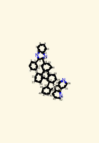 c1ccc(-c2nc3ccccc3nc2-c2ccc3c(c2)c2ccccc2c2c4c(ccc32)[Si](c2cccnc2)(c2cccnc2)c2ccccc2-4)cc1